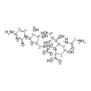 NCC(=O)N[C@@H]1C(O)C[C@@](OP(=O)(O)OCC2O[C@@H](n3ccc(N)nc3=O)[C@H](O)[C@@H]2O)(C(=O)O)OC1[C@H](O)[C@H](O)CO